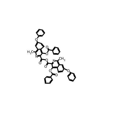 Cc1nc(C(=O)OC(=O)c2nc(C)c3cc(Oc4ccccc4)ccc3c2OC(=O)c2ccccc2)c(OC(=O)c2ccccc2)c2ccc(Oc3ccccc3)cc12